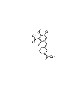 COc1c(Cl)cc(C=C2CCCN(B(C)O)C2)c(F)c1[N+](=O)[O-]